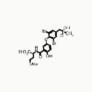 CCOC(=O)[C@H](CCSC)NC(=O)c1cc(Oc2c(Br)cc(CP(C)(=O)O)cc2Br)ccc1O